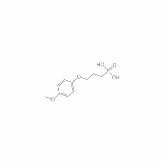 COc1ccc(OCCCP(=O)(O)O)cc1